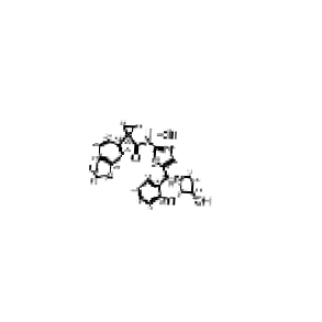 Cl.O=C(Nc1ncc([C@@H](c2ccccc2Cl)N2CCC(O)C2)s1)C1(c2ccc3c(c2)OCO3)CC1